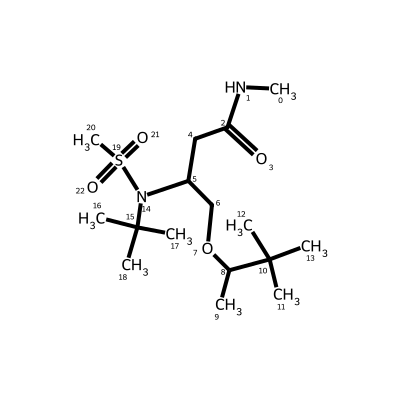 CNC(=O)CC(COC(C)C(C)(C)C)N(C(C)(C)C)S(C)(=O)=O